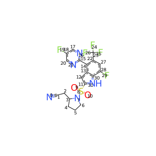 N#CCC1CCCN1S(=O)(=O)c1cc2c(-c3ncc(F)cn3)c(C(F)(F)F)cc(F)c2[nH]1